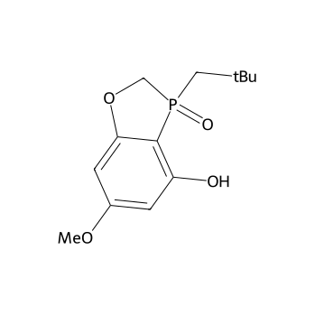 COc1cc(O)c2c(c1)OCP2(=O)CC(C)(C)C